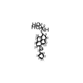 CC(CO)(CO)NCc1ccc2ccc3c(OCc4ccccc4)ccc4ccc1c2c43